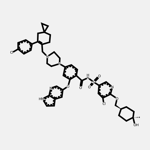 C[C@]1(O)CC[C@@H](COc2ncc(S(=O)(=O)NC(=O)c3ccc(N4CCN(CC5=C(c6ccc(Cl)cc6)CC6(CC5)CC6)CC4)cc3Oc3cnc4[nH]ccc4c3)cc2Cl)CC1